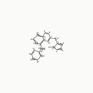 Cn1cnnc1Sc1ccc2ncnc(Nc3ccncn3)c2c1